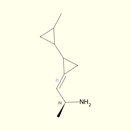 CC1CC1C1C/C1=C\[C@H](C)N